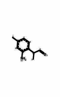 Cc1ccc(C(C)C=O)c(N)c1